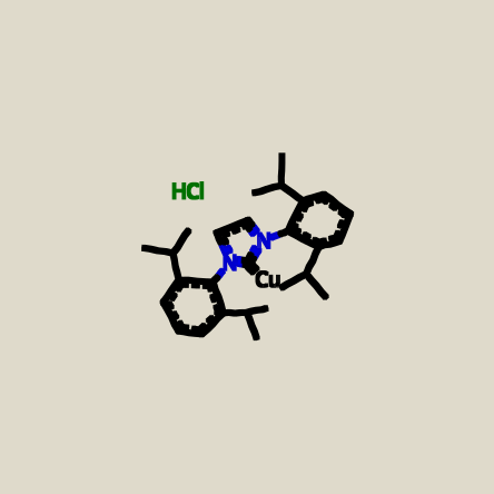 CC(C)c1cccc(C(C)C)c1-n1ccn(-c2c(C(C)C)cccc2C(C)C)[c]1=[Cu].Cl